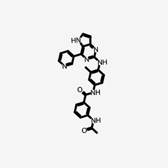 CC(=O)Nc1cccc(C(=O)Nc2ccc(Nc3nc(-c4cccnc4)c4[nH]ccc4n3)c(C)c2)c1